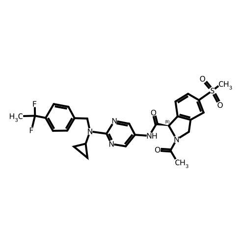 CC(=O)N1Cc2cc(S(C)(=O)=O)ccc2[C@@H]1C(=O)Nc1cnc(N(Cc2ccc(C(C)(F)F)cc2)C2CC2)nc1